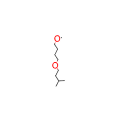 CC(C)CCOCCCC[O]